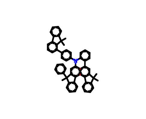 CC1(C)c2ccccc2-c2ccc(-c3ccccc3N(c3ccc(-c4cccc5c4C(C)(C)c4ccccc4-5)cc3)c3ccc4c(c3)C(C)(c3ccccc3)c3ccccc3-4)cc21